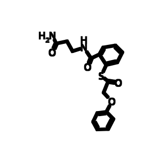 NC(=O)CCNC(=O)c1ccccc1SC(=O)COc1ccccc1